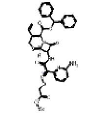 C=CC1=C(C(=O)OC(c2ccccc2)c2ccccc2)N2C(=O)C(NC(=O)/C(=N/OCC(=O)OC(C)(C)C)c3cccc(N)n3)[C@H]2SC1